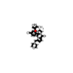 Cc1nocc1C(=O)N1CCN2C(=O)c3ccc(CN4CCOCC4)n3CC12c1ccc(Cl)cc1